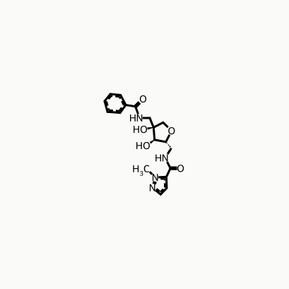 Cn1nccc1C(=O)NC[C@H]1OC[C@@](O)(CNC(=O)c2ccccc2)[C@@H]1O